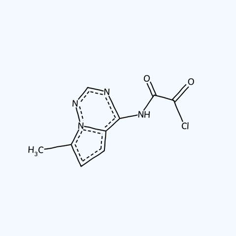 Cc1ccc2c(NC(=O)C(=O)Cl)ncnn12